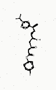 C=C(C=CC(O)CC(=O)CC(=O)Oc1ccc(F)cc1)c1nnn(C(C)C)n1